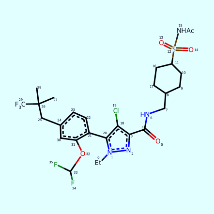 CCn1nc(C(=O)NCC2CCC(S(=O)(=O)NC(C)=O)CC2)c(Cl)c1-c1ccc(CC(C)(C)C(F)(F)F)cc1OC(F)F